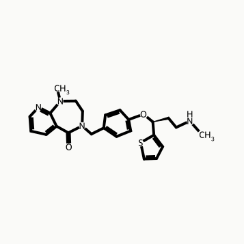 CNCC[C@H](Oc1ccc(CN2CCN(C)c3ncccc3C2=O)cc1)c1cccs1